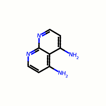 Nc1ccnc2nccc(N)c12